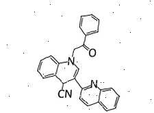 N#CC1C(c2ccc3ccccc3n2)=CN(CC(=O)c2ccccc2)c2ccccc21